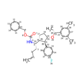 C=CCC[C@H](NC(=O)OCc1ccccc1)[C@@H]1CC[C@H](O[C@H](C)c2cc(C(F)(F)F)cc(C(F)(F)F)c2)[C@H]1c1ccc(F)cc1